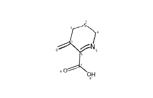 C=C1CSCN=C1C(=O)O